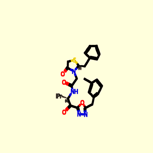 Cc1cccc(Cc2nnc(C(=O)[C@@H](NC(=O)CN3C(=O)CS[C@H]3Cc3ccccc3)C(C)C)o2)c1